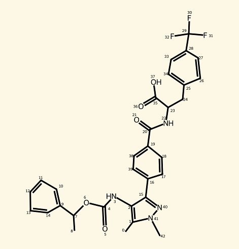 Cc1c(NC(=O)OC(C)c2ccccc2)c(-c2ccc(C(=O)NC(Cc3ccc(C(F)(F)F)cc3)C(=O)O)cc2)nn1C